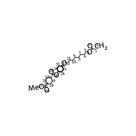 C=CC(=O)OCCCCCCCCOc1ccc(OC(=O)[C@H]2CC[C@H](C(=O)OC)CC2)cc1